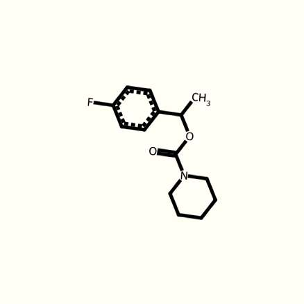 CC(OC(=O)N1CCCCC1)c1ccc(F)cc1